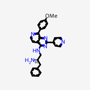 COc1ccc(-c2nccc3c(NC[C@H](N)Cc4ccccc4)nc(-c4ccncc4)nc23)cc1